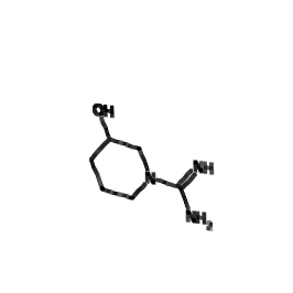 N=C(N)N1CCCC(O)C1